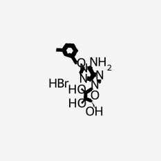 Br.Cc1cccc(CON2CN=c3c(ncn3[C@@H]3O[C@H](CO)[C@@H](O)[C@H]3O)=C2N)c1